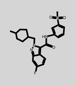 CC1CCC(Cn2nc3cc(F)ccc3c2C(=O)Nc2cccc(S(C)(=O)=O)c2)CC1